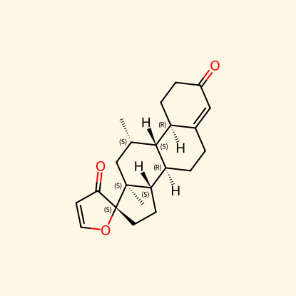 C[C@H]1C[C@@]2(C)[C@@H](CC[C@]23OC=CC3=O)[C@@H]2CCC3=CC(=O)CC[C@@H]3[C@H]21